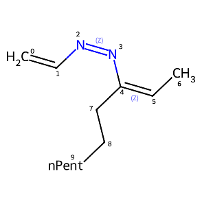 C=C/N=N\C(=C/C)CCCCCCC